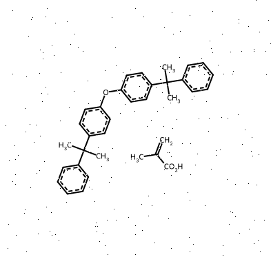 C=C(C)C(=O)O.CC(C)(c1ccccc1)c1ccc(Oc2ccc(C(C)(C)c3ccccc3)cc2)cc1